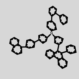 c1ccc(-c2ccccc2-c2ccc(N(c3ccc(-c4ccc(-c5cccc6ccccc56)cc4)cc3)c3cccc(-c4c(-c5ccccc5)c5ccccc5c5ccccc45)c3)cc2)cc1